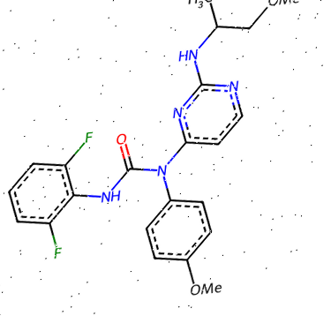 COCC(C)Nc1nccc(N(C(=O)Nc2c(F)cccc2F)c2ccc(OC)cc2)n1